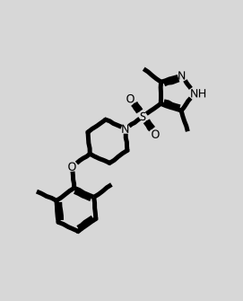 Cc1cccc(C)c1OC1CCN(S(=O)(=O)c2c(C)n[nH]c2C)CC1